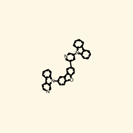 c1ccc2c(c1)c1ccccc1n2-c1cncc(-c2ccc3oc4ccc(-n5c6ccccc6c6ccncc65)cc4c3c2)c1